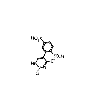 O=S(=O)(O)c1ccc(S(=O)(=O)O)c(C2=CNN(Cl)N=C2Cl)c1